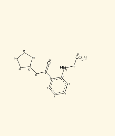 O=C(O)CNc1ccccc1C(=O)CC1CCCC1